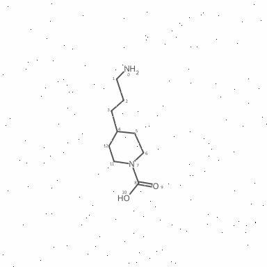 NCCCC1CCN(C(=O)O)CC1